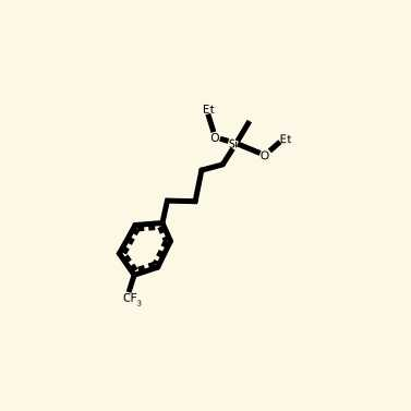 CCO[Si](C)(CCCCc1ccc(C(F)(F)F)cc1)OCC